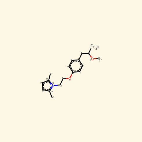 CCOC(Cc1ccc(OCCn2c(C)ccc2C)cc1)C(=O)O